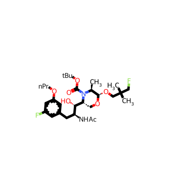 CCCOc1cc(F)cc(C[C@H](NC(C)=O)[C@H](O)[C@H]2CO[C@@H](OCC(C)(C)CF)[C@H](C)N2C(=O)OC(C)(C)C)c1